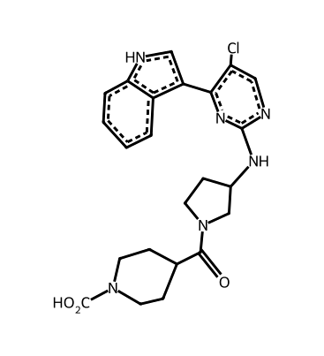 O=C(O)N1CCC(C(=O)N2CCC(Nc3ncc(Cl)c(-c4c[nH]c5ccccc45)n3)C2)CC1